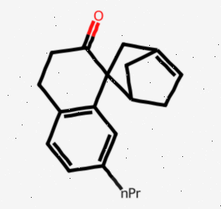 CCCc1ccc2c(c1)C1(CC3=CCC1C3)C(=O)CC2